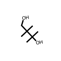 CC(C)(O)C(C)(C)CO